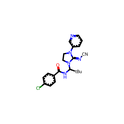 CC(C)(C)C(NC(=O)c1ccc(Cl)cc1)N1CCN(c2cccnc2)/C1=N\C#N